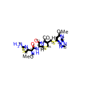 CON=C(C(=O)N[C@@H]1C(=O)N2C(C(=O)O)=C(CSc3cc(OC)nc4ncnn34)CS[C@H]12)c1csc(N)n1